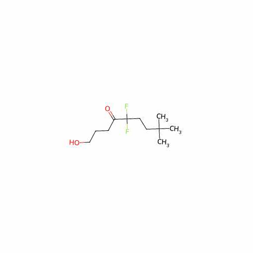 CC(C)(C)CCC(F)(F)C(=O)CCCO